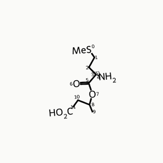 CSCC[C@H](N)C(=O)OC(C)CC(=O)O